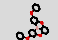 c1ccc(Oc2ccc3c(c2)Oc2cccc4c2B3c2ccc(Oc3ccccc3)cc2O4)cc1